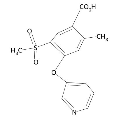 Cc1cc(Oc2cccnc2)c(S(C)(=O)=O)cc1C(=O)O